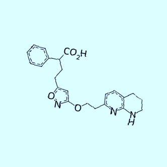 O=C(O)C(CCc1cc(OCCc2ccc3c(n2)NCCC3)no1)c1ccccc1